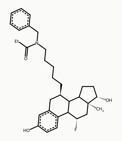 CCC(=O)N(CCCCC[C@@H]1Cc2cc(O)ccc2C2C1C1CC[C@H](O)[C@@]1(C)C[C@@H]2F)Cc1ccccc1